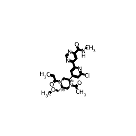 C=CC(=O)N1C[C@@H](c2cc(Cl)nc(-c3cc(C(=O)NC)ncn3)c2)N(C(C)=O)C[C@@H]1COC